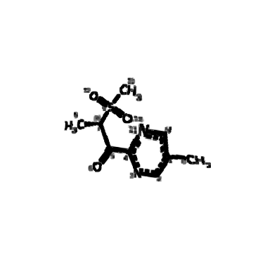 Cc1cnc(C(=O)[C@@H](C)S(C)(=O)=O)nc1